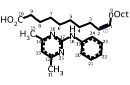 CCCCCCCC/C=C\CCCCCCCC(=O)O.Cc1cc(C)nc(Nc2ccccc2)n1